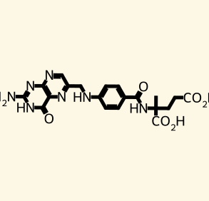 CC(CCC(=O)O)(NC(=O)c1ccc(NCc2cnc3nc(N)[nH]c(=O)c3n2)cc1)C(=O)O